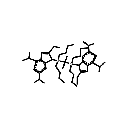 CCC[CH2][Zr]([CH2]CCC)([CH]1C(CC)=Cc2c(C(C)C)cc(C(C)C)cc21)[C](C)(C)[Zr]([CH2]CCC)([CH2]CCC)[CH]1C(CC)=Cc2c(C(C)C)cc(C(C)C)cc21